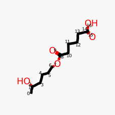 CC(O)CCCCOC(=O)CCCCC(=O)O